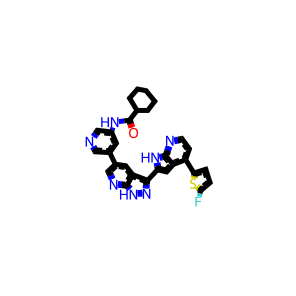 O=C(Nc1cncc(-c2cnc3[nH]nc(-c4cc5c(-c6ccc(F)s6)ccnc5[nH]4)c3c2)c1)C1CCCCC1